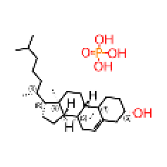 CC(C)CCC[C@@H](C)[C@H]1CC[C@H]2[C@@H]3CC=C4C[C@@H](O)CC[C@]4(C)[C@H]3CC[C@]12C.O=P(O)(O)O